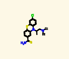 CCN(CC)CC(C)N1c2ccc(Cl)cc2Sc2ccc(C(N)=S)cc21